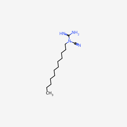 CCCCCCCCCCCCN(C#N)C(=N)N